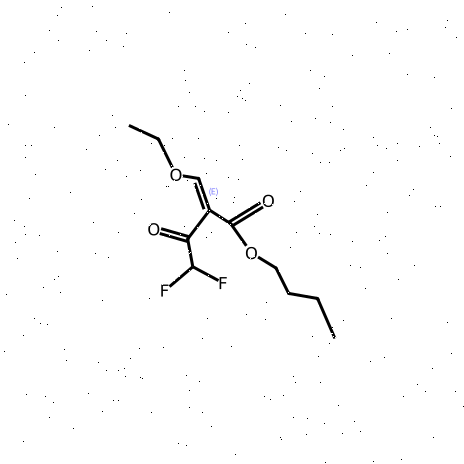 CCCCOC(=O)/C(=C/OCC)C(=O)C(F)F